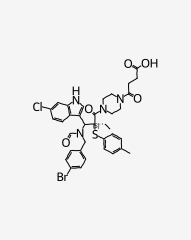 CC[C@@](Sc1ccc(C)cc1)(C(=O)N1CCN(C(=O)CCC(=O)O)CC1)C(c1c[nH]c2cc(Cl)ccc12)N(C=O)Cc1ccc(Br)cc1